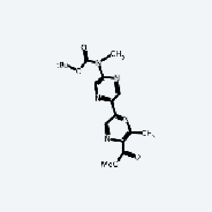 COC(=O)c1ncc(-c2cnc(N(C)C(=O)OC(C)(C)C)cn2)nc1C